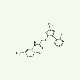 CC1=CC(NC(=O)COc2cc(C(F)(F)F)nn2-c2ccccc2Cl)=C(Cl)CC1